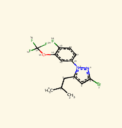 CC(C)Cc1cc(Br)nn1-c1ccc(F)c(OC(F)(F)F)c1